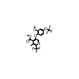 COC(=O)c1c(Oc2ccc(OC(F)(F)F)cc2OC)cnc(C(F)(F)F)c1C